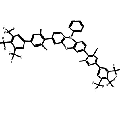 Cc1cc(-c2cc(C(F)(F)F)c(C(F)(F)F)c(C(F)(F)F)c2)cc(C)c1-c1ccc2c(c1)Oc1cc(-c3c(C)cc(-c4cc(C(F)(F)F)c(C(F)(F)F)c(C(F)(F)F)c4)cc3C)ccc1N2c1ccccc1